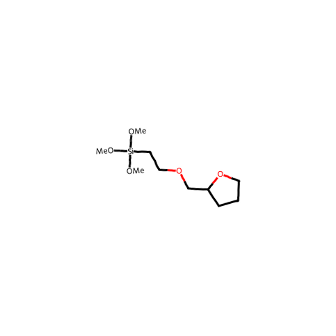 CO[Si](CCOCC1CCCO1)(OC)OC